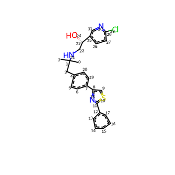 CC(C)(Cc1ccc(-c2csc(-c3ccccc3)n2)cc1)NC[C@H](O)c1ccc(Cl)nc1